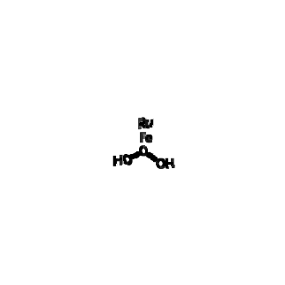 OOO.[Fe].[Ru]